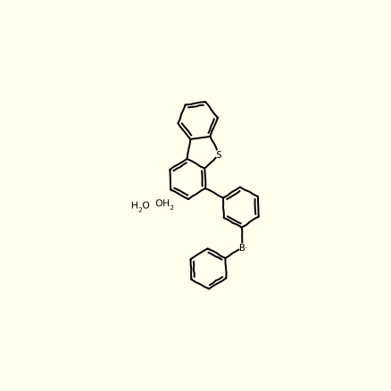 O.O.[B](c1ccccc1)c1cccc(-c2cccc3c2sc2ccccc23)c1